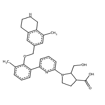 Cc1cc(COc2c(C)cccc2-c2cccc(N3CCC(C(=O)O)C3CO)n2)cc2c1CNCC2